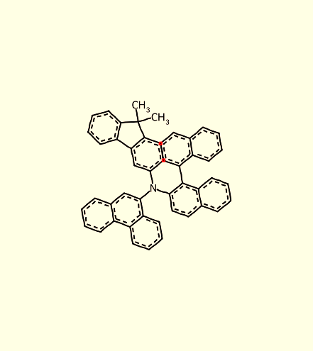 CC1(C)c2ccccc2-c2cc(N(c3ccc4ccccc4c3-c3cccc4ccccc34)c3cc4ccccc4c4ccccc34)ccc21